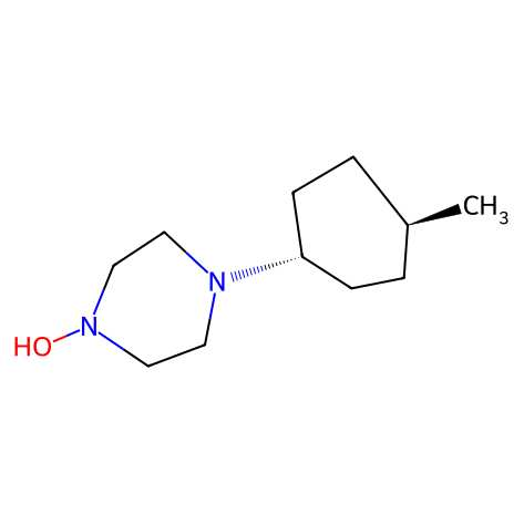 C[C@H]1CC[C@H](N2CCN(O)CC2)CC1